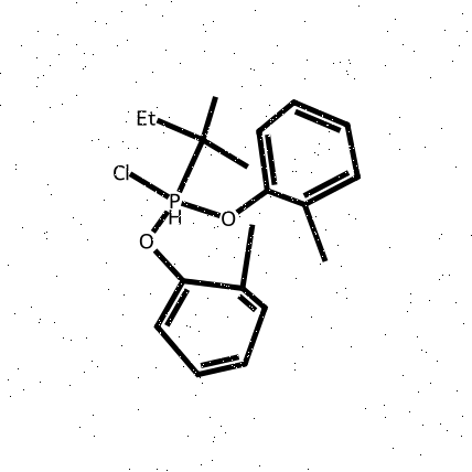 CCC(C)(C)[PH](Cl)(Oc1ccccc1C)Oc1ccccc1C